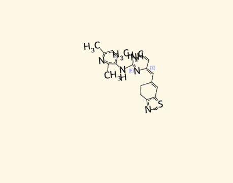 C=CC(=C/C1=Cc2scnc2CC1)/N=C(\NC)Nc1ccc(C)nc1C